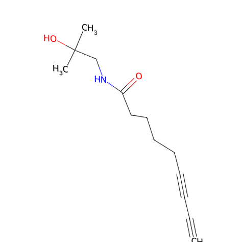 C#CC#CCCCCC(=O)NCC(C)(C)O